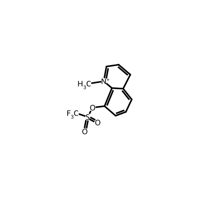 C[n+]1cccc2cccc(OS(=O)(=O)C(F)(F)F)c21